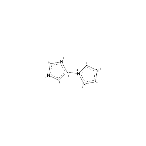 [c]1ncn(-n2cncn2)n1